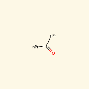 CC[CH2][Hf](=[O])[CH2]CC